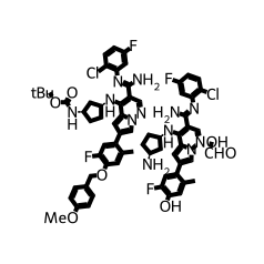 COc1ccc(COc2cc(C)c(-c3cc4c(N[C@@H]5CC[C@H](NC(=O)OC(C)(C)C)C5)c(C(N)=Nc5cc(F)ccc5Cl)cnn4c3)cc2F)cc1.Cc1cc(O)c(F)cc1-c1cc2c(N[C@H]3CC[C@@H](N)C3)c(C(N)=Nc3cc(F)ccc3Cl)cnn2c1.O=CO